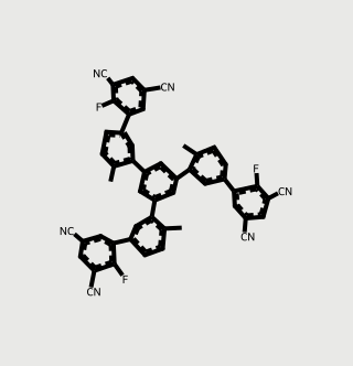 Cc1ccc(-c2cc(C#N)cc(C#N)c2F)cc1-c1cc(-c2cc(-c3cc(C#N)cc(C#N)c3F)ccc2C)cc(-c2cc(-c3cc(C#N)cc(C#N)c3F)ccc2C)c1